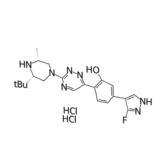 C[C@@H]1CN(c2ncc(-c3ccc(-c4c[nH]nc4F)cc3O)nn2)C[C@H](C(C)(C)C)N1.Cl.Cl